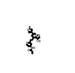 C=CC(=O)Nc1ccnc(/C=C/c2cc(-c3cnn(C)c3)cn3ncc(C#N)c23)c1